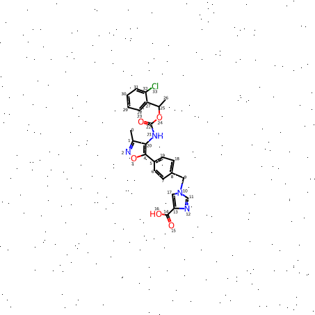 Cc1noc(-c2ccc(Cn3cnc(C(=O)O)c3)cc2)c1NC(=O)OC(C)c1ccccc1Cl